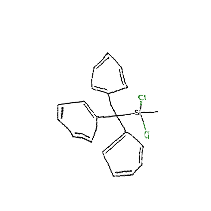 C[Si](Cl)(Cl)C(c1ccccc1)(c1ccccc1)c1ccccc1